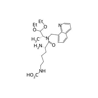 CCOC(OCC)[C@@H](C)N(Cc1cccc2cccnc12)C(=O)[C@@H](N)CCCCNC(=O)O